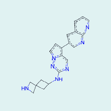 c1cnc2ncc(-c3ccn4nc(NC5CC6(CNC6)C5)ncc34)cc2c1